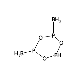 BP1OPOP(B)O1